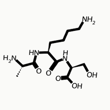 C[C@H](N)C(=O)N[C@@H](CCCCN)C(=O)N[C@@H](CO)C(=O)O